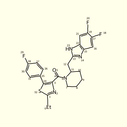 CCc1nc(C(=O)N2CCCCC2Cc2nc3cc(F)c(F)cc3[nH]2)c(-c2ccc(F)cc2)s1